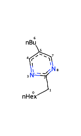 CCCCCCCc1ncc(CCCC)cn1